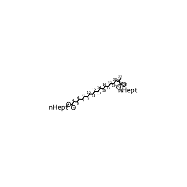 CCCCCCCOC(=O)CCCCCCCCCCCCCCCCCC(C)C(=O)OCCCCCCC